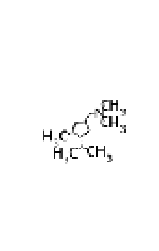 CC(C)[C@H]1CC(CN(C)C)=CC1C